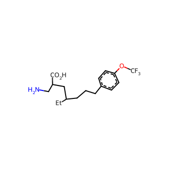 CCC(CCCc1ccc(OC(F)(F)F)cc1)CC(CN)C(=O)O